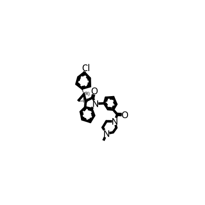 CN1CCN(C(=O)c2cccc(N3C(=O)[C@@]4(C[C@@H]4c4ccc(Cl)cc4)c4ccccc43)c2)CC1